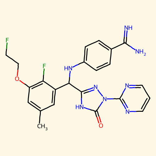 Cc1cc(OCCF)c(F)c(C(Nc2ccc(C(=N)N)cc2)c2nn(-c3ncccn3)c(=O)[nH]2)c1